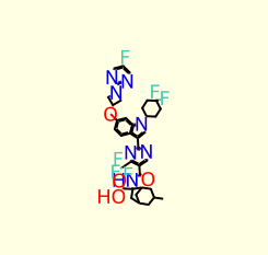 CC1CC2CC(C1)C(NC(=O)c1cnc(-c3cn(C4CCC(F)(F)CC4)c4cc(OC5CN(c6ncc(F)cn6)C5)ccc34)nc1C(F)(F)F)(C(=O)O)C2